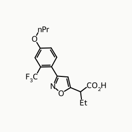 CCCOc1ccc(-c2cc(C(CC)C(=O)O)on2)c(C(F)(F)F)c1